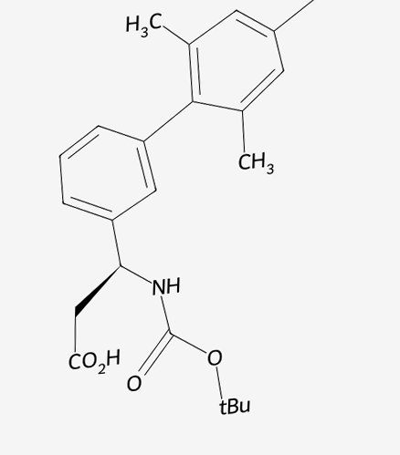 Cc1cc(F)cc(C)c1-c1cccc([C@H](CC(=O)O)NC(=O)OC(C)(C)C)c1